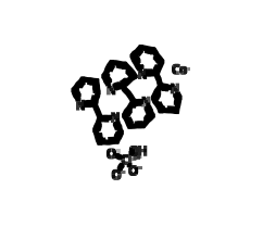 [Co].[O-][Cl+3]([O-])([O-])O.c1ccc(-c2ccccn2)nc1.c1ccc(-c2ccccn2)nc1.c1ccc(-c2ccccn2)nc1